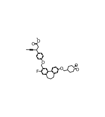 CC#CC(CC(=O)OC)c1ccc(OCc2cc3c(cc2F)CCCc2cc(OCC4CCS(=O)(=O)CC4)ccc2-3)cc1